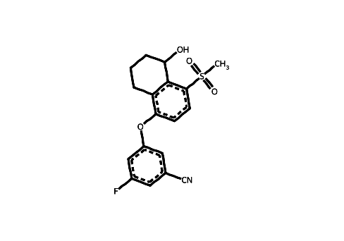 CS(=O)(=O)c1ccc(Oc2cc(F)cc(C#N)c2)c2c1C(O)CCC2